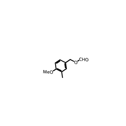 COc1ccc(COC=O)cc1C